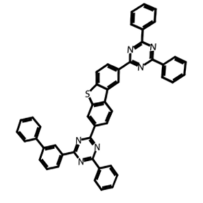 c1ccc(-c2cccc(-c3nc(-c4ccccc4)nc(-c4ccc5c(c4)sc4ccc(-c6nc(-c7ccccc7)nc(-c7ccccc7)n6)cc45)n3)c2)cc1